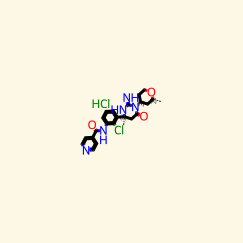 C[C@@H]1C[C@H](N2C(=N)N[C@](C)(c3cccc(NC(=O)c4ccncc4)c3Cl)CC2=O)CCO1.Cl